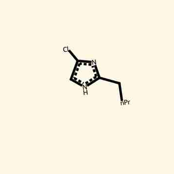 CCCCc1nc(Cl)c[nH]1